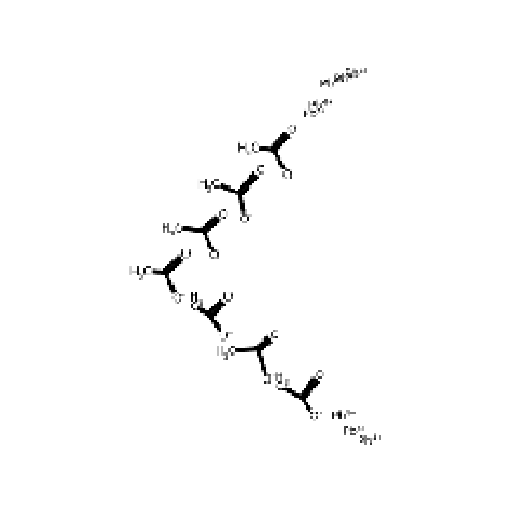 CC(=O)[O-].CC(=O)[O-].CC(=O)[O-].CC(=O)[O-].CC(=O)[O-].CC(=O)[O-].CC(=O)[O-].[Pb+4].[Pb+4].[Pb+4].[Pb+4].[Pb+4].[Pb+4].[Pb+4].[Pb+4]